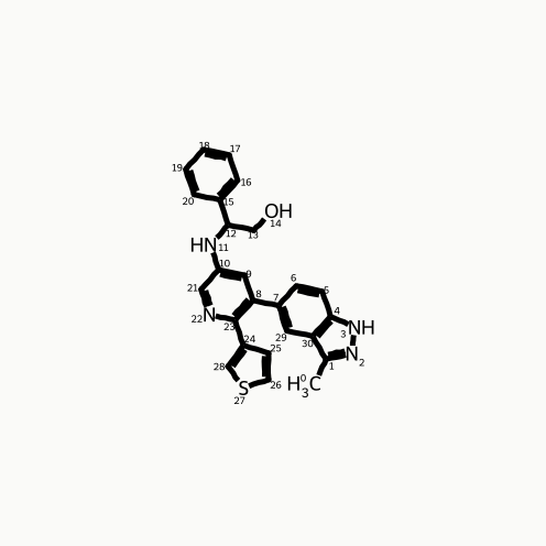 Cc1n[nH]c2ccc(-c3cc(NC(CO)c4ccccc4)cnc3-c3ccsc3)cc12